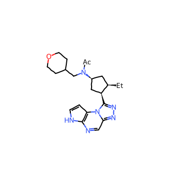 CC[C@@H]1C[C@H](N(CC2CCOCC2)C(C)=O)C[C@@H]1c1nnc2cnc3[nH]ccc3n12